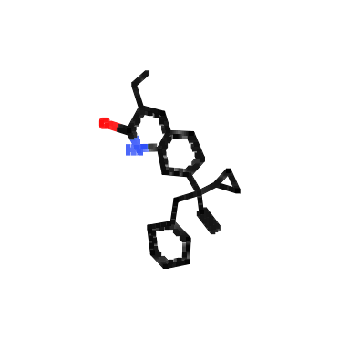 C#CC(Cc1ccccc1)(c1ccc2cc(CC)c(=O)[nH]c2c1)C1CC1